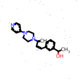 C=C(/C=C\c1cccc(C(C)O)c1)N1CCN(c2ccncc2)CC1